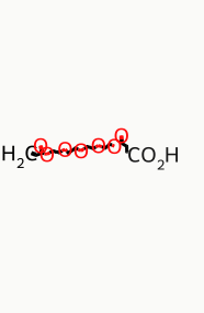 C=CC(=O)OCCOCCOCCOCCOC(=O)CCC(=O)O